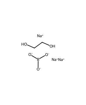 OCCO.[Na+].[Na+].[Na+].[O-]B([O-])[O-]